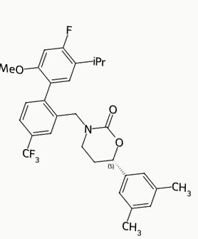 COc1cc(F)c(C(C)C)cc1-c1ccc(C(F)(F)F)cc1CN1CC[C@@H](c2cc(C)cc(C)c2)OC1=O